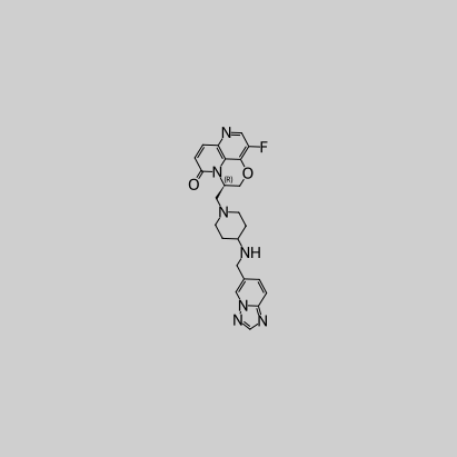 O=c1ccc2ncc(F)c3c2n1[C@H](CN1CCC(NCc2ccc4ncnn4c2)CC1)CO3